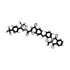 CC(=O)n1c(=O)c2ccccc2c(=O)n1-c1cccc(Cc2ccc3c(=O)cc(C(=O)NCC(c4ccc(C(C)(C)C)cc4)N(C)C)oc3c2)c1